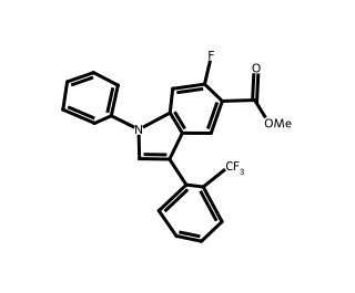 COC(=O)c1cc2c(-c3ccccc3C(F)(F)F)cn(-c3ccccc3)c2cc1F